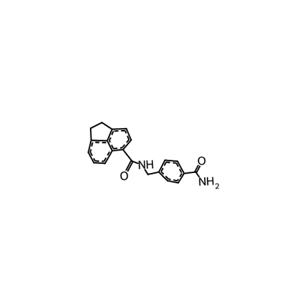 NC(=O)c1ccc(CNC(=O)c2ccc3c4c(cccc24)CC3)cc1